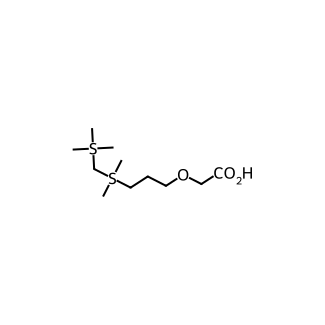 CS(C)(C)CS(C)(C)CCCOCC(=O)O